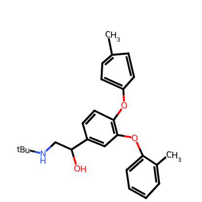 Cc1ccc(Oc2ccc(C(O)CNC(C)(C)C)cc2Oc2ccccc2C)cc1